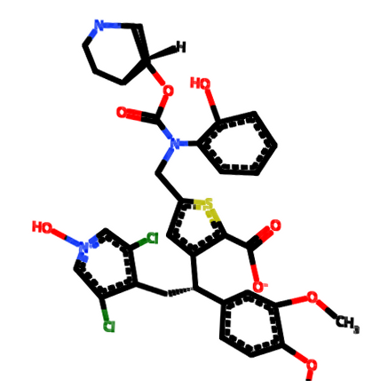 COc1ccc([C@H](Cc2c(Cl)c[n+](O)cc2Cl)c2cc(CN(C(=O)O[C@H]3CN4CCC3CC4)c3ccccc3O)sc2C(=O)[O-])cc1OC